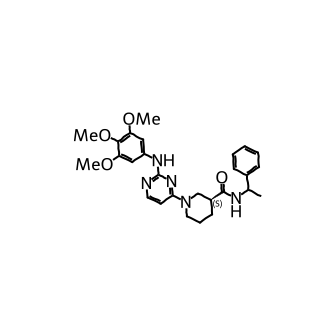 COc1cc(Nc2nccc(N3CCC[C@H](C(=O)NC(C)c4ccccc4)C3)n2)cc(OC)c1OC